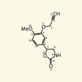 C#CCOc1cc(C2CNC(=O)O2)ccc1OC